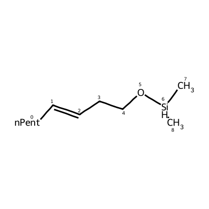 CCCCCC=CCCO[SiH](C)C